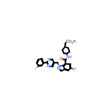 O=C(O)CC1CCC(NC(=O)c2cc(Cl)cc3cnn(Cc4cnc(-c5cccc(F)c5)nc4)c23)CC1